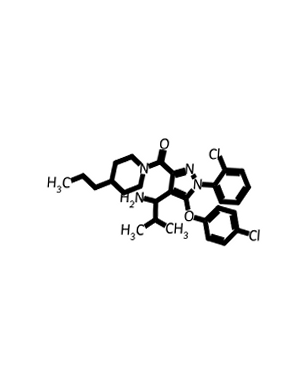 CCCC1CCN(C(=O)c2nn(-c3ccccc3Cl)c(Oc3ccc(Cl)cc3)c2C(N)C(C)C)CC1